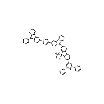 CC1(C)c2cc(-c3cc(-c4ccccc4)nc(-c4ccccc4)c3)ccc2-c2ccc(-n3c4ccccc4c4cc(-c5ccc(-c6ccc7c(c6)c6ccccc6n7-c6ccccc6)cc5)ccc43)cc21